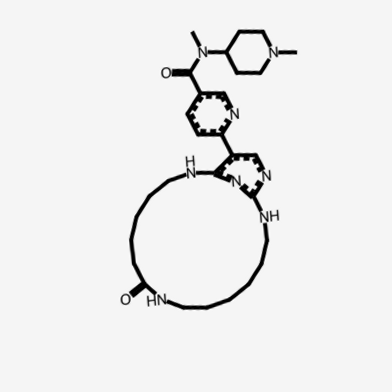 CN1CCC(N(C)C(=O)c2ccc(-c3cnc4nc3NCCCCCC(=O)NCCCCCCN4)nc2)CC1